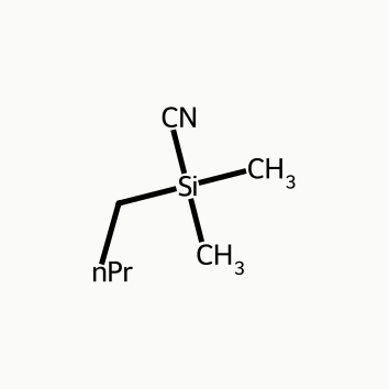 CCCC[Si](C)(C)C#N